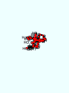 CC1=C[C@H]2O[C@@H]3C[C@H]4OC(=O)/C=C\C=C\C(=O)OCC[C@@H](C)[C@H](OC(=O)OCCSSC[C@H](NC(=O)[C@H](CCC(=O)NC[C@H](O)[C@@H](O)[C@H](O)[C@H](O)CO)NC(=O)[C@H](CCC(=O)O)NC(=O)[C@H](CCC(=O)NC[C@H](O)[C@@H](O)[C@H](O)[C@H](O)CO)NC(=O)CC[C@H](NC(=O)c5ccc(NCc6cnc7nc(N)[nH]c(=O)c7n6)cc5)C(=O)O)C(N)=O)C(=O)OC[C@@]2(CC1)[C@]4(C)[C@]31CO1